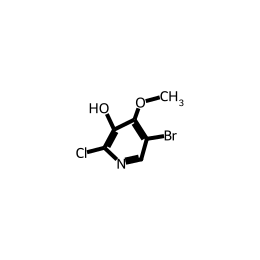 COc1c(Br)cnc(Cl)c1O